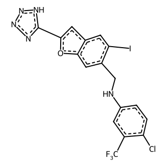 FC(F)(F)c1cc(NCc2cc3oc(-c4nnn[nH]4)cc3cc2I)ccc1Cl